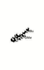 COOC(=O)[C@H](CCCO[Si](C)(C)C(C)(C)C)Oc1ncnc2c1cnn2-c1ncccc1Cl